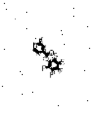 Cc1cc(C(=O)Oc2c(F)c(F)c(F)c(F)c2F)ccn1